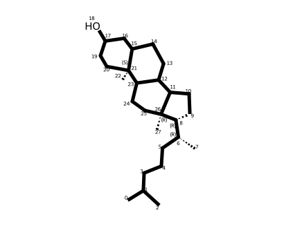 CC(C)CCC[C@@H](C)[C@H]1CCC2C3CCC4CC(O)CC[C@]4(C)C3CC[C@@]21C